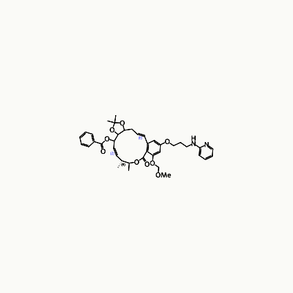 COCOc1cc(OCCCNc2ccccn2)cc2c1C(=O)OC(C)[C@H](C)/C=C\C(OC(=O)c1ccccc1)C1OC(C)(C)OC1C/C=C/2